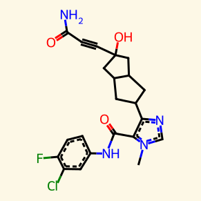 Cn1cnc(C2CC3CC(O)(C#CC(N)=O)CC3C2)c1C(=O)Nc1ccc(F)c(Cl)c1